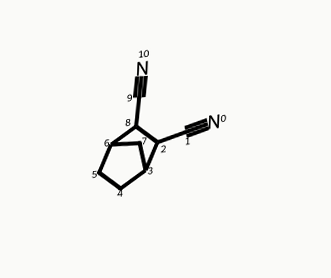 N#CC1C2CCC(C2)C1C#N